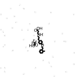 Cc1ccccc1CCOc1ccc(CCCNCCC(=O)O)cc1.O=C(O)C(F)(F)F